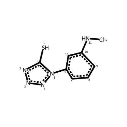 Sc1nnnn1-c1cccc(NCl)c1